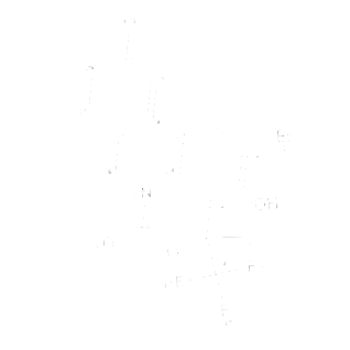 COc1ccc(CN2C(=O)OC(CO)(C(F)(F)F)c3cc(Br)ccc32)cc1